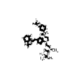 CN(CCN1CCN(S(=O)(=O)c2cccc(OC(F)(F)F)c2)c2cc(/C=C/c3c(Cl)cccc3C(F)(F)F)ccc21)C(=O)OC(C)(C)C